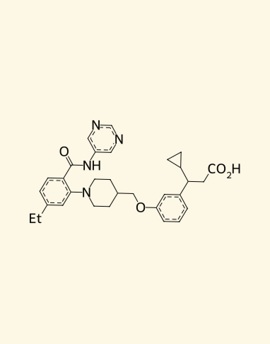 CCc1ccc(C(=O)Nc2cncnc2)c(N2CCC(COc3cccc(C(CC(=O)O)C4CC4)c3)CC2)c1